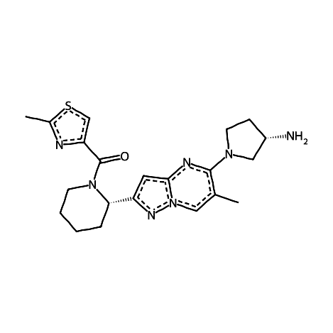 Cc1nc(C(=O)N2CCCC[C@H]2c2cc3nc(N4CC[C@H](N)C4)c(C)cn3n2)cs1